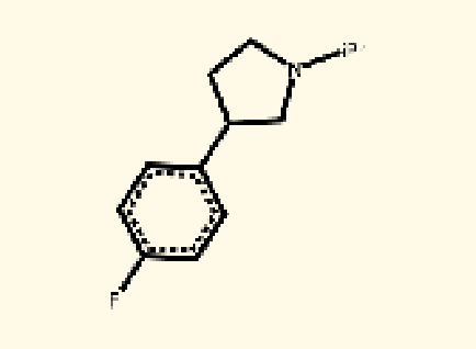 CC(C)N1CCC(c2ccc(F)cc2)C1